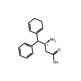 N[C@@H](CC(=O)O)C(C1=CCCC=C1)c1ccccc1